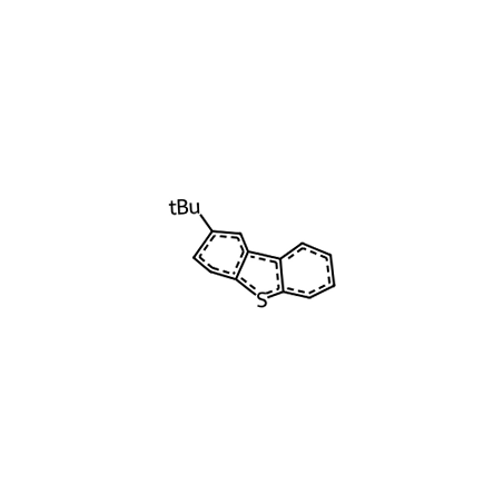 CC(C)(C)c1ccc2sc3ccccc3c2c1